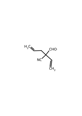 C=CCC([C]=O)(C#N)C=C